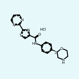 Cl.O=C(Nc1ccc([C@@H]2CNCCO2)cc1)c1csc(-c2ncccn2)n1